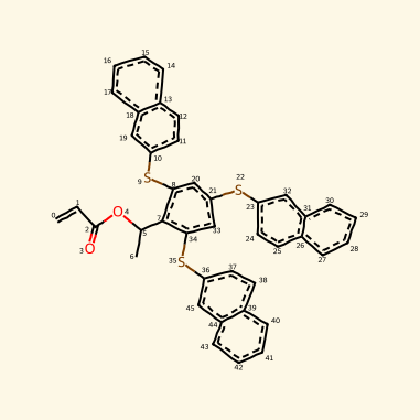 C=CC(=O)OC(C)c1c(Sc2ccc3ccccc3c2)cc(Sc2ccc3ccccc3c2)cc1Sc1ccc2ccccc2c1